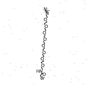 [N-]=[N+]=NCCOCCOCCOCCOCCOCCOCCOCCOCCNC(=O)CBr